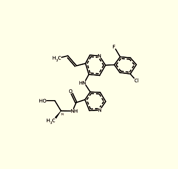 CC=Cc1cnc(-c2cc(Cl)ccc2F)cc1Nc1ccncc1C(=O)N[C@@H](C)CO